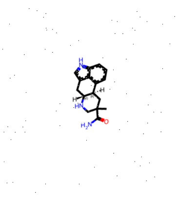 CC1(C(N)=O)CN[C@@H]2Cc3c[nH]c4cccc(c34)[C@H]2C1